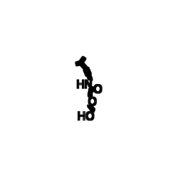 CC(C)C#CCNC(=O)COCCO